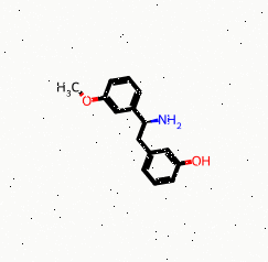 COc1cccc([C@@H](N)Cc2cccc(O)c2)c1